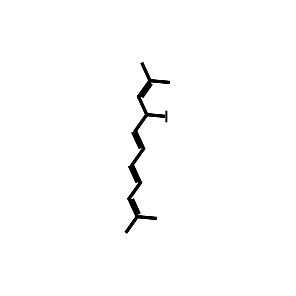 CC(C)=CC=CC=CC(I)C=C(C)C